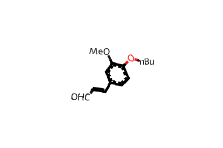 CCCCOc1ccc(C=CC=O)cc1OC